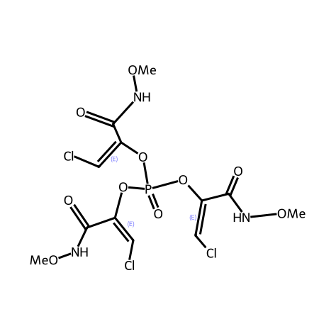 CONC(=O)/C(=C\Cl)OP(=O)(O/C(=C/Cl)C(=O)NOC)O/C(=C/Cl)C(=O)NOC